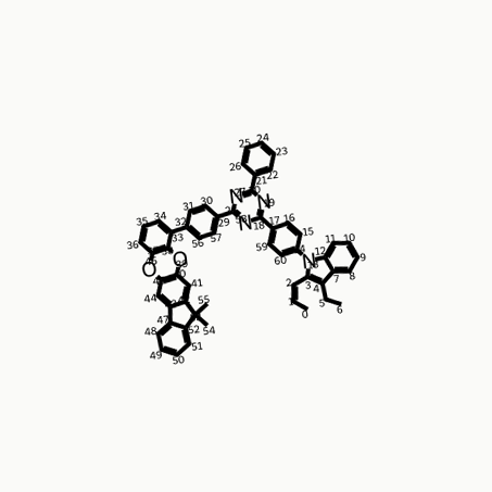 C/C=C\c1c(CC)c2ccccc2n1-c1ccc(-c2nc(-c3ccccc3)nc(-c3ccc(-c4cccc5c4Oc4cc6c(cc4O5)-c4ccccc4C6(C)C)cc3)n2)cc1